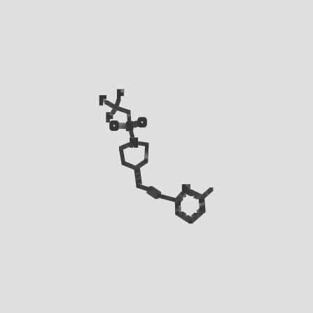 Cc1cccc(C#CC=C2CCN(S(=O)(=O)CC(F)(F)F)CC2)n1